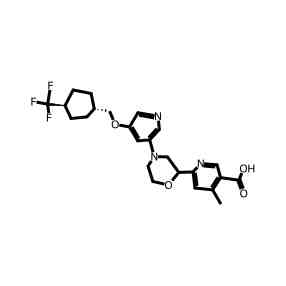 Cc1cc(C2CN(c3cncc(OC[C@H]4CC[C@H](C(F)(F)F)CC4)c3)CCO2)ncc1C(=O)O